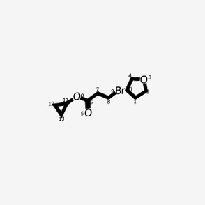 C1CCOC1.O=C(CCBr)OC1CC1